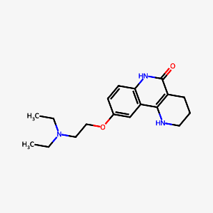 CCN(CC)CCOc1ccc2[nH]c(=O)c3c(c2c1)NCCC3